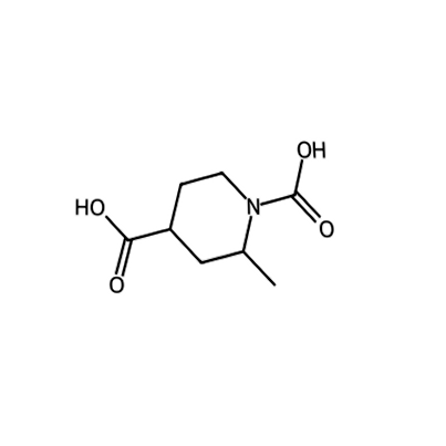 CC1CC(C(=O)O)CCN1C(=O)O